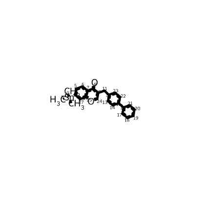 [CH3][Sn]([CH3])([CH3])[c]1ccc2c(=O)c(Cc3ccc(-c4ccccc4)cc3)coc2c1